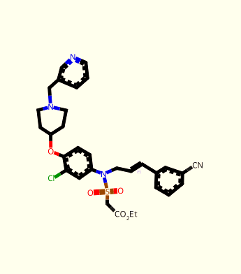 CCOC(=O)CS(=O)(=O)N(C/C=C/c1cccc(C#N)c1)c1ccc(OC2CCN(Cc3cccnc3)CC2)c(Cl)c1